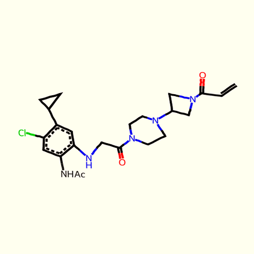 C=CC(=O)N1CC(N2CCN(C(=O)CNc3cc(C4CC4)c(Cl)cc3NC(C)=O)CC2)C1